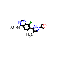 CNc1ncnc2c(F)c(-c3nn(C4COC4)cc3C)ccc12